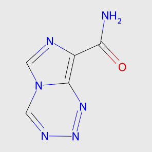 NC(=O)c1ncn2cnnnc12